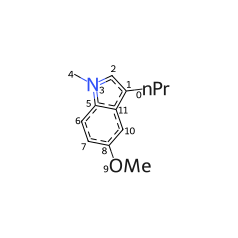 [CH2-][CH+]Cc1cn(C)c2ccc(OC)cc12